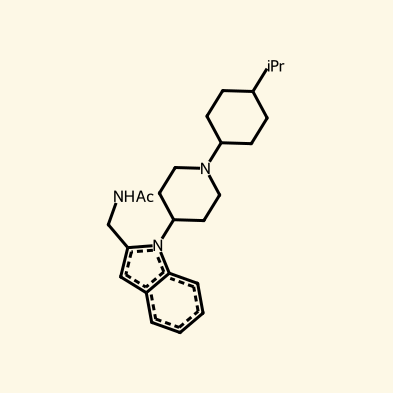 CC(=O)NCc1cc2ccccc2n1C1CCN(C2CCC(C(C)C)CC2)CC1